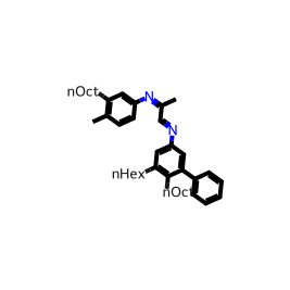 CCCCCCCCc1cc(N=C(C)C=Nc2cc(CCCCCC)c(CCCCCCCC)c(-c3ccccc3)c2)ccc1C